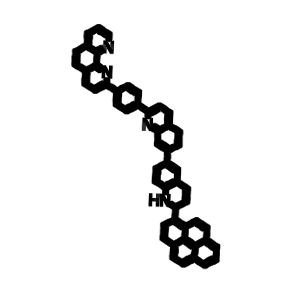 C1=CC(c2ccc3ccc4cccc5ccc2c3c45)Nc2ccc(-c3ccc4ccc(-c5ccc(-c6ccc7ccc8cccnc8c7n6)cc5)nc4c3)cc21